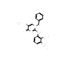 COc1cn(Cc2ccccc2)c(Nc2cccc(OC(C)C)c2C)nc1=O